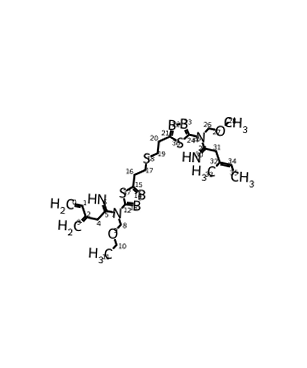 C=CC(=C)CC(=N)N(COCC)c1bbc(CCSCCc2bbc(N(COC)C(=N)C/C(C)=C/C)s2)s1